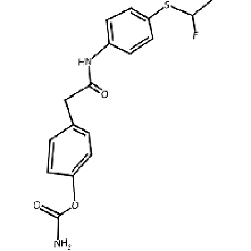 NC(=O)Oc1ccc(CC(=O)Nc2ccc(SC(F)F)cc2)cc1